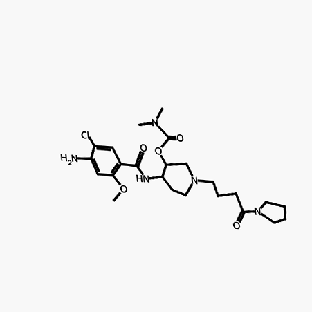 COc1cc(N)c(Cl)cc1C(=O)NC1CCN(CCCC(=O)N2CCCC2)CC1OC(=O)N(C)C